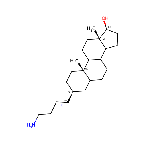 C[C@]12CC[C@H](/C=C/CCN)CC1CCC1C2CC[C@@]2(C)C1CC[C@@H]2O